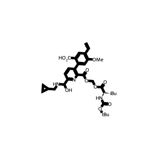 C=Cc1cc(C(=O)O)c(-c2ccc(C(O)NCC3CC3)nc2C(=O)OCOC(=O)[C@@H](NC(=O)OC(C)(C)C)[C@@H](C)CC)cc1OC